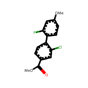 COC(=O)c1ccc(-c2ccc(OC)cc2F)c(Cl)c1